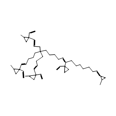 C=CC1(C(=CCCCCC(CC=CC2(C=C)CC2C)(CCC=CC2(C=C)CC2C)CCCC=CC2(C=C)CC2C)CCCCCCC=C2CC2C)CC1